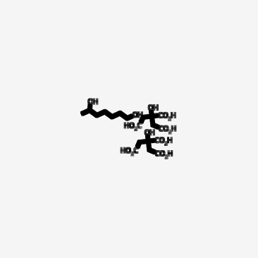 CC(O)CCCCCO.O=C(O)CC(O)(CC(=O)O)C(=O)O.O=C(O)CC(O)(CC(=O)O)C(=O)O